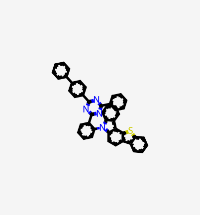 c1ccc(-c2ccc(-c3nc(-c4ccccc4)nc(-c4ccccc4-n4c5ccccc5c5c6sc7ccccc7c6ccc54)n3)cc2)cc1